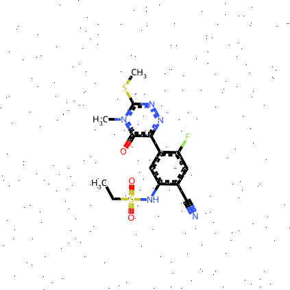 CCS(=O)(=O)Nc1cc(-c2nnc(SC)n(C)c2=O)c(F)cc1C#N